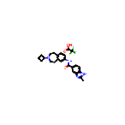 Cc1nc2cc(C(=O)Nc3ccc4c(c3)CCN(C3CCC3)CC4)ccc2[nH]1.O=C(O)C(F)(F)F